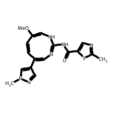 COc1ccc(-c2cnn(C)c2)cnc(NC(=O)c2cnc(C)s2)[nH]c1